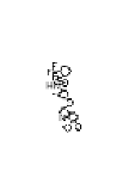 COc1ccc2c(Oc3ccc(NS(=O)(=O)c4ccccc4C(F)(F)F)c(C)c3)ccnc2c1OC